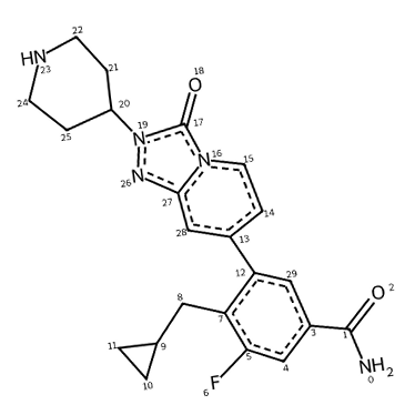 NC(=O)c1cc(F)c(CC2CC2)c(-c2ccn3c(=O)n(C4CCNCC4)nc3c2)c1